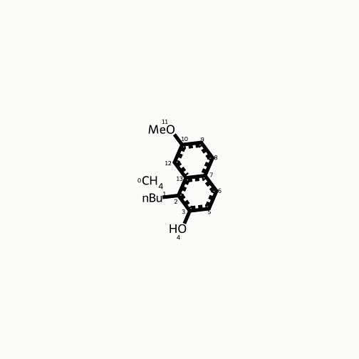 C.CCCCc1c(O)ccc2ccc(OC)cc12